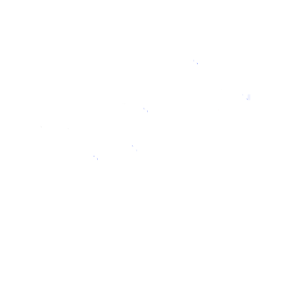 NS(=O)(=O)c1cc(NC(=O)c2cc(C(F)(F)F)cnc2N2CCCCC2c2ccc(F)cc2)ccn1